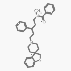 CN(CCC(CCN1CCC2(CC1)CSc1ccccc12)c1ccccc1)C(=O)c1ccccc1